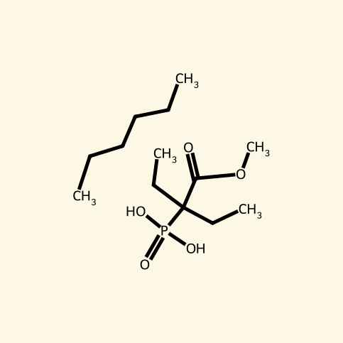 CCC(CC)(C(=O)OC)P(=O)(O)O.CCCCCC